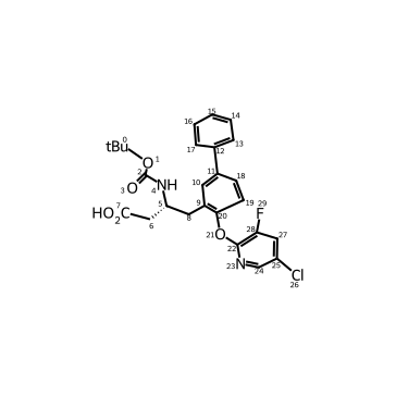 CC(C)(C)OC(=O)N[C@@H](CC(=O)O)Cc1cc(-c2ccccc2)ccc1Oc1ncc(Cl)cc1F